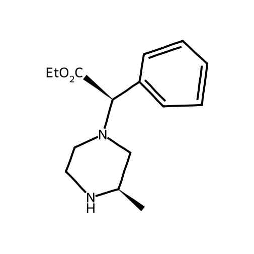 CCOC(=O)[C@@H](c1ccccc1)N1CCN[C@H](C)C1